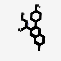 CCO/N=C(\N)c1cc2cc(C)ccc2nc1N1CCC(N)CC1